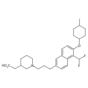 CC1CCC(Oc2ccc3cc(CCCN4CCCC(CC(=O)O)C4)ccc3c2C(F)F)CC1